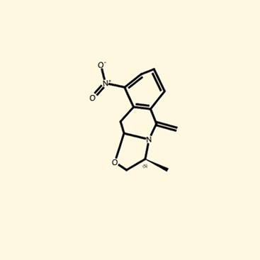 C=C1c2cccc([N+](=O)[O-])c2CC2OC[C@H](C)N12